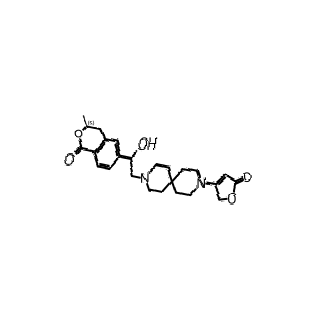 C[C@H]1Cc2cc(C(O)CN3CCC4(CC3)CCN(C3=CC(=O)OC3)CC4)ccc2C(=O)O1